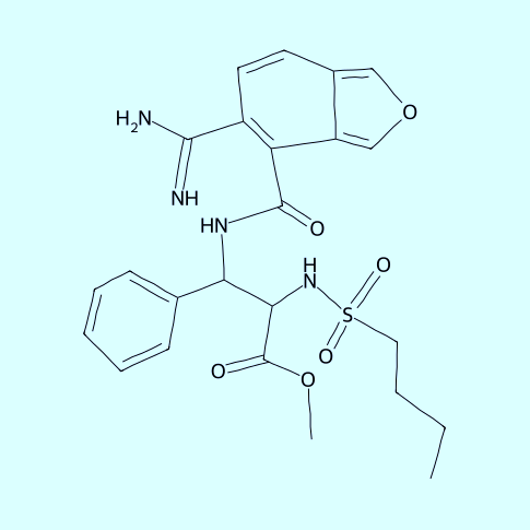 CCCCS(=O)(=O)NC(C(=O)OC)C(NC(=O)c1c(C(=N)N)ccc2cocc12)c1ccccc1